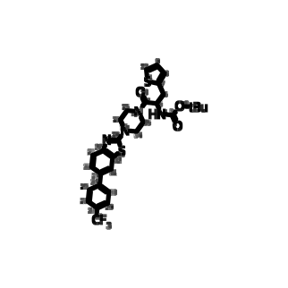 CC(C)(C)OC(=O)NC(Cc1cccs1)C(=O)N1CCN(c2nc3ccc(-c4ccc(C(F)(F)F)cc4)cc3s2)CC1